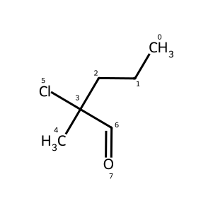 CCCC(C)(Cl)C=O